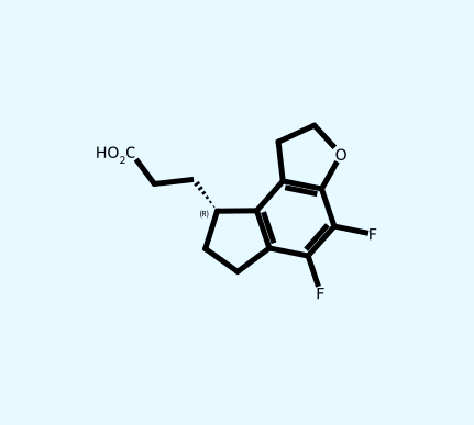 O=C(O)CC[C@H]1CCc2c(F)c(F)c3c(c21)CCO3